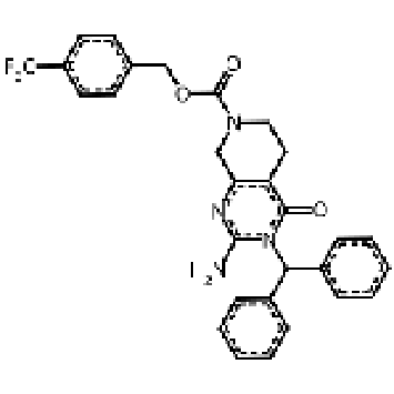 Nc1nc2c(c(=O)n1C(c1ccccc1)c1ccccc1)CCN(C(=O)OCc1ccc(C(F)(F)F)cc1)C2